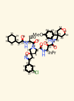 CCC[C@H](NC(=O)[C@@H]1C[C@]2(CC(c3cccc(Cl)c3)=NO2)CN1C(=O)[C@@H](NC(=O)CC1CCCCC1)C(C)(C)C)C(=O)C(=O)NCC1(c2ccc(OC)cc2)CCOCC1